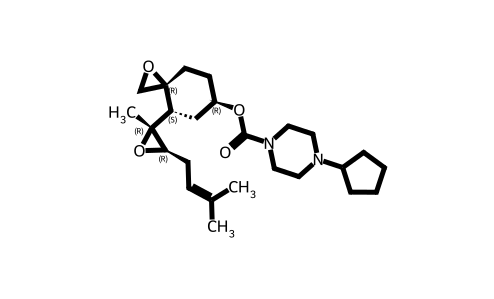 CC(C)=CC[C@H]1O[C@]1(C)[C@H]1C[C@H](OC(=O)N2CCN(C3CCCC3)CC2)CC[C@]12CO2